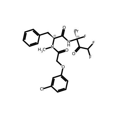 CC(C)[C@@](F)(NC(=O)[C@H](Cc1ccccc1)N(C)C(=O)COc1cccc(Cl)c1)C(=O)C(F)F